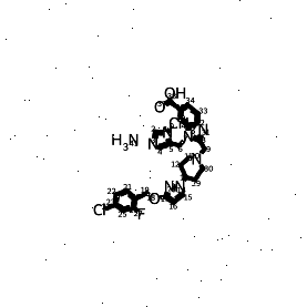 Cn1cncc1Cn1c(CN2CCC(n3ccc(OCc4ccc(Cl)cc4F)n3)CC2)nc2ccc(C(=O)O)cc21.N